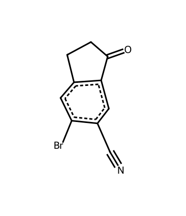 N#Cc1cc2c(cc1Br)CCC2=O